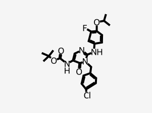 CC(C)Oc1ccc(Nc2ncc(NC(=O)OC(C)(C)C)c(=O)n2Cc2ccc(Cl)cc2)cc1F